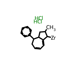 CC1CC2C(=CC=CCC2c2ccccc2)[CH]1[Zr].Cl.Cl